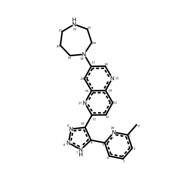 Cc1cccc(-c2[nH]nnc2-c2ccc3ncc(N4CCCNCC4)cc3n2)n1